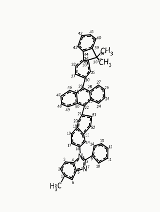 Cc1ccc2c(c1)nc(-c1ccccc1)n2-c1ccc2cc(-c3c4ccccc4c(-c4ccc5c(c4)C(C)(C)c4ccccc4-5)c4ccccc34)ccc2c1